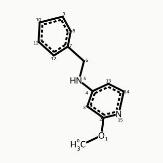 COc1cc(NCc2ccccc2)ccn1